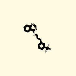 FC(F)(F)c1cccc(CCCOc2ncnc3ccccc23)c1